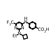 CCN(c1nc(Nc2ccc(C(=O)O)cc2)cc(C(F)(F)F)n1)C1CCC1